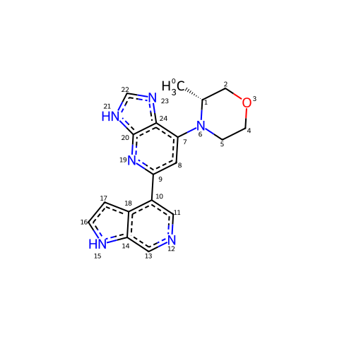 C[C@@H]1COCCN1c1cc(-c2cncc3[nH]ccc23)nc2[nH]cnc12